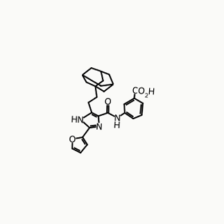 O=C(O)c1cccc(NC(=O)c2nc(-c3ccco3)[nH]c2CCC23CC4CC(CC(C4)C2)C3)c1